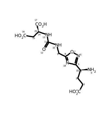 N[C@@H](CCC(=O)O)c1noc(CNC(=O)N[C@@H](CC(=O)O)C(=O)O)n1